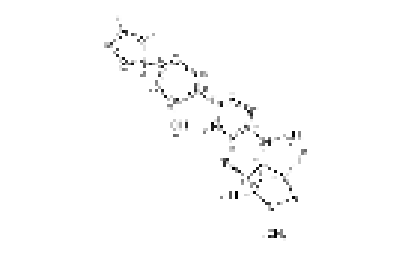 CN1C[C@H]2C[C@@H]1[C@@H](F)[C@@H]2N(C)c1ccc(-c2ccc(-n3ccnc3)cc2O)nn1